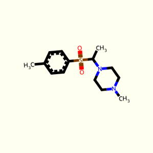 Cc1ccc(S(=O)(=O)C(C)N2CCN(C)CC2)cc1